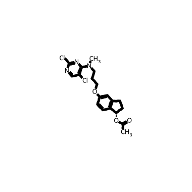 CC(=O)O[C@H]1CCc2cc(OCCCN(C)c3nc(Cl)ncc3Cl)ccc21